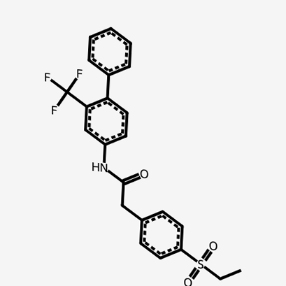 CCS(=O)(=O)c1ccc(CC(=O)Nc2ccc(-c3ccccc3)c(C(F)(F)F)c2)cc1